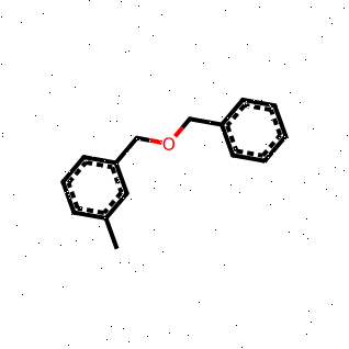 Cc1cccc(COCc2ccccc2)c1